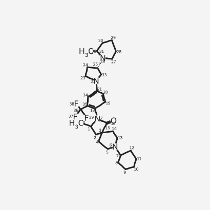 CC1CC2(CCN(C3CCCCC3)CC2)C(=O)N1c1ccc(N2CC[C@H](N3CCCC[C@@H]3C)C2)cc1C(F)(F)F